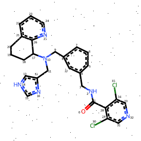 O=C(NCc1cccc(CN(Cc2c[nH]cn2)C2CCCc3cccnc32)c1)c1c(Cl)cncc1Cl